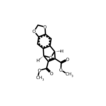 COC(=O)C1=C(C(=O)OC)[C@@H]2O[C@H]1c1cc3c(cc12)OCO3